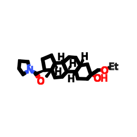 CCOC[C@@]1(O)CC[C@H]2[C@H](CC[C@@H]3[C@@H]2CC[C@]2(C)[C@@H](C(=O)N4CCCC4)CC[C@@H]32)C1